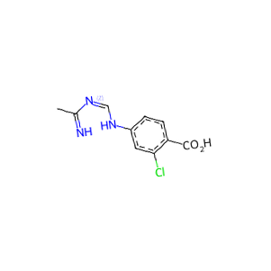 CC(=N)/N=C\Nc1ccc(C(=O)O)c(Cl)c1